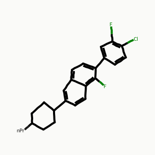 CCCC1CCC(c2ccc3c(F)c(-c4ccc(Cl)c(F)c4)ccc3c2)CC1